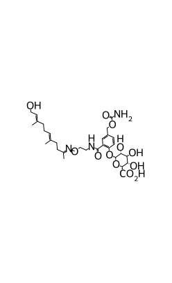 C/C(=C\CO)CC/C=C(\C)CC/C(C)=N/OCCNC(=O)c1cc(COC(N)=O)ccc1O[C@@H]1O[C@H](C(=O)O)[C@@H](O)[C@H](O)[C@H]1O